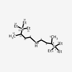 CC[Si](CC)(CC)C(C)CCNCCC(C)[Si](CC)(CC)CC